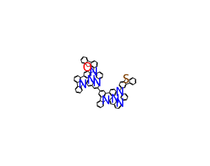 c1ccc(N(c2ccc(-c3cc(-c4cnc5ncc(-n6c7ccccc7c7cccc(-c8ccc(N(c9ccccc9)c9cccc%10c9oc9ccccc9%10)cc8)c76)cc5c4)cc4c5ccccc5n(-c5cnc6ncccc6c5)c34)cc2)c2ccc3sc4ccccc4c3c2)cc1